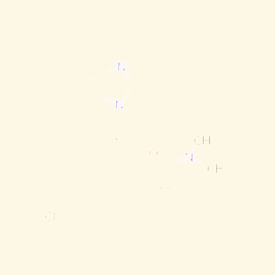 CN(C)C(=S)OCC(F)(Cn1ccnc1)c1ccc(Cl)cc1